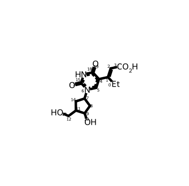 CCC(=CC(=O)O)c1cn(C2CC(O)C(CO)C2)c(=O)[nH]c1=O